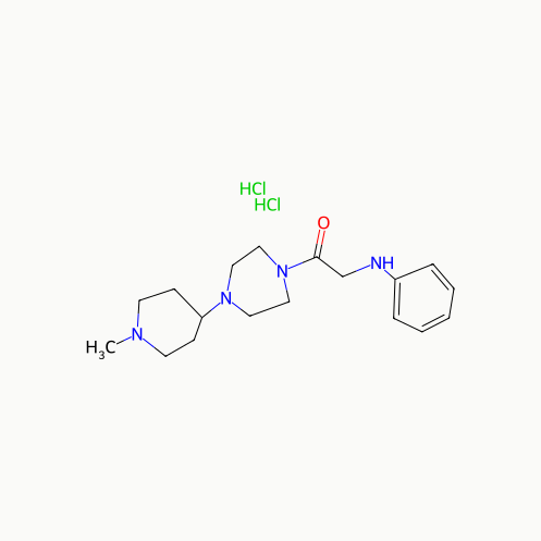 CN1CCC(N2CCN(C(=O)CNc3ccccc3)CC2)CC1.Cl.Cl